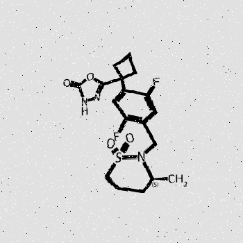 C[C@H]1CCCS(=O)(=O)N1Cc1cc(F)c(C2(c3n[nH]c(=O)o3)CCC2)cc1F